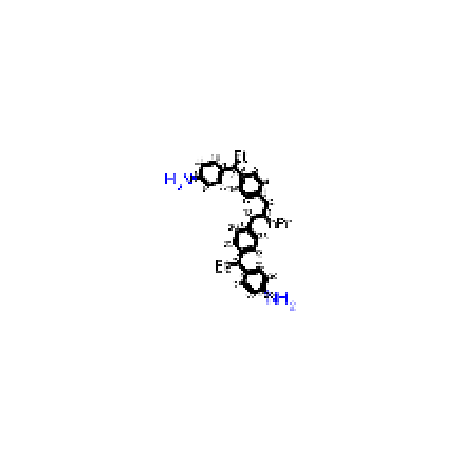 CCCC(Cc1ccc(C(CC)c2ccc(N)cc2)cc1)Cc1ccc(C(CC)c2ccc(N)cc2)cc1